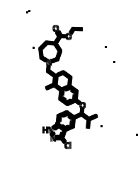 CCOC(=O)C1CCCN(CC2=C(C)c3ccc(OC(c4ccc5[nH]nc(Cl)c5c4)C(C)C)cc3CC2)CC1